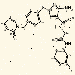 Nc1nn(Cc2ccc(Cn3ccccc3=O)cc2)cc1C(=O)NCC(=O)Nc1cccc(Cl)c1